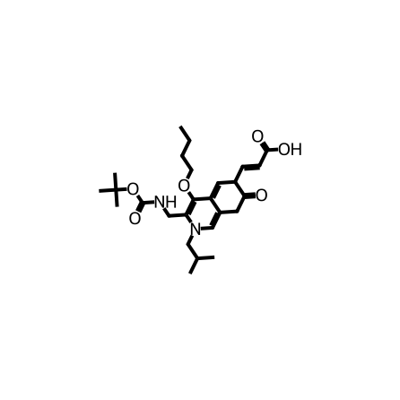 CCCCOC1=C(CNC(=O)OC(C)(C)C)N(CC(C)C)C=C2CC(=O)C(C=CC(=O)O)C=C21